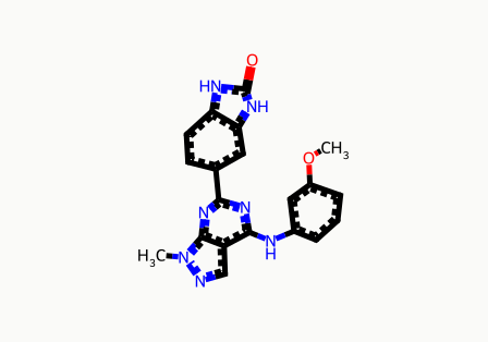 COc1cccc(Nc2nc(-c3ccc4[nH]c(=O)[nH]c4c3)nc3c2cnn3C)c1